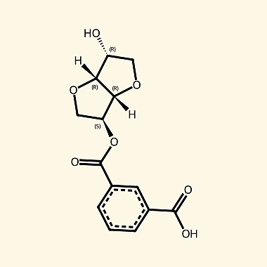 O=C(O)c1cccc(C(=O)O[C@H]2CO[C@H]3[C@@H]2OC[C@H]3O)c1